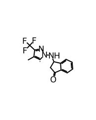 Cc1[c]n(NC2CC(=O)c3ccccc32)nc1C(F)(F)F